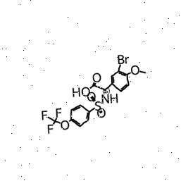 COc1ccc([C@H](NS(=O)(=O)c2ccc(OC(F)(F)F)cc2)C(=O)O)cc1Br